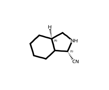 N#C[C@H]1NC[C@@H]2CCCCC21